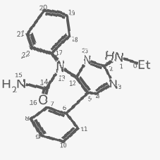 CCNc1ncc(-c2ccccc2)c(N(C(N)=O)c2ccccc2)n1